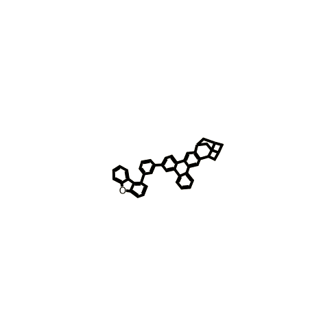 c1cc(-c2ccc3c(c2)c2ccccc2c2cc4c(cc32)C2CC3CC5CC4C35C2)cc(-c2cccc3oc4ccccc4c23)c1